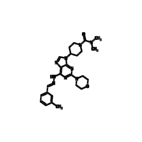 Cc1cccc(C=NNc2nc(N3CCOCC3)nc3c2ncn3C2CCN(C(=O)N(C)C)CC2)c1